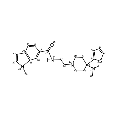 CN(C)C1(c2cccs2)CCN(CCNC(=O)c2ccc3ccn(C)c3c2)CC1